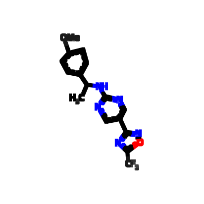 COc1ccc(C(C)Nc2ncc(-c3noc(C(F)(F)F)n3)cn2)cc1